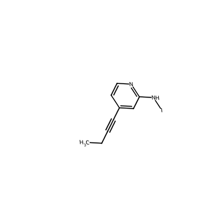 CCC#Cc1ccnc(NI)c1